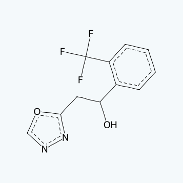 OC(Cc1nnco1)c1ccccc1C(F)(F)F